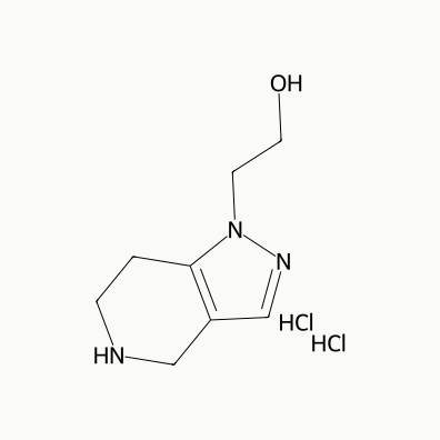 Cl.Cl.OCCn1ncc2c1CCNC2